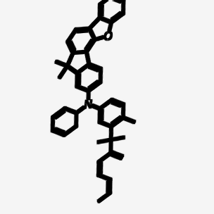 C=C(/C=C\C=C/C)C(C)(C)c1cc(N(c2ccc3c(c2)C(C)(C)c2ccc4c(oc5ccccc54)c2-3)C2C=CC=CC2)ccc1C